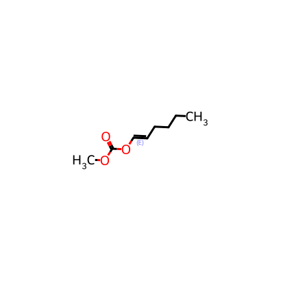 CCCC/C=C/OC(=O)OC